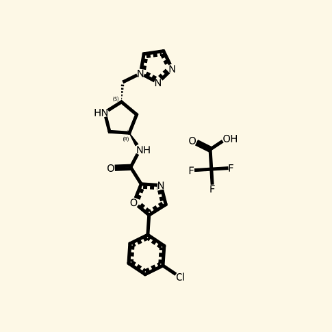 O=C(N[C@H]1CN[C@H](Cn2ccnn2)C1)c1ncc(-c2cccc(Cl)c2)o1.O=C(O)C(F)(F)F